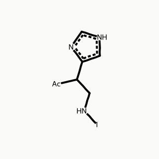 CC(=O)C(CNI)c1c[nH]cn1